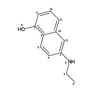 CCNc1ccc2c(O)cccc2c1